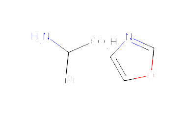 CC(C)C(N)C(=O)O.c1cocn1